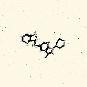 Cc1nn(C2CCOCC2)c2ncc(Nc3n[nH]c4cccnc34)cc12